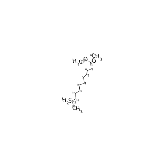 COC(CCCCCCCCC[SiH2]C)OC